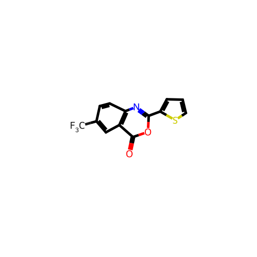 O=c1oc(-c2cccs2)nc2ccc(C(F)(F)F)cc12